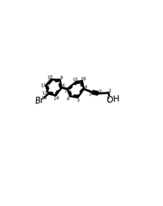 OCC#Cc1ccc(-c2cccc(Br)c2)cc1